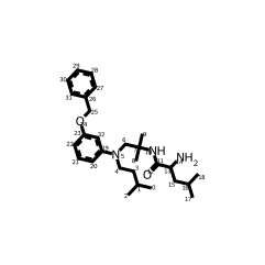 CC(C)CCN(CC(C)(C)NC(=O)C(N)CC(C)C)c1cccc(OCc2ccccc2)c1